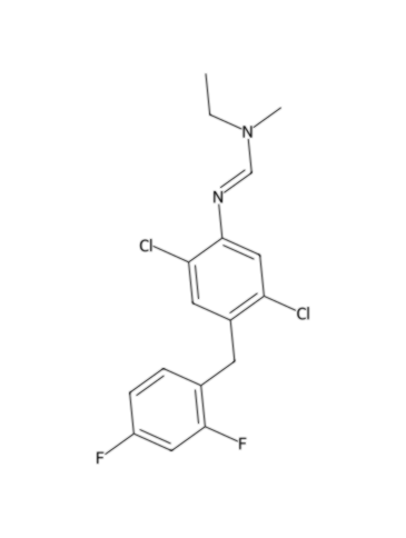 CCN(C)C=Nc1cc(Cl)c(Cc2ccc(F)cc2F)cc1Cl